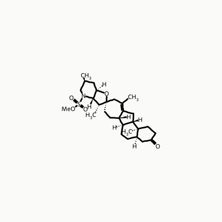 COS(=O)(=O)N1C[C@@H](C)C[C@H]2O[C@]3(CC[C@@H]4C(=C(C)C3)C[C@H]3[C@H]4CC[C@@H]4CC(=O)CC[C@@]43C)[C@H](C)[C@@H]21